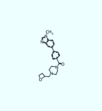 Cn1cnc2cc(-c3ccc(C(=O)N4CCN(CC5CCO5)CC4)cc3)ccc21